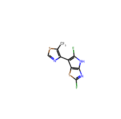 Fc1nc2[nH]c(F)c(-c3ncsc3C(F)(F)F)c2s1